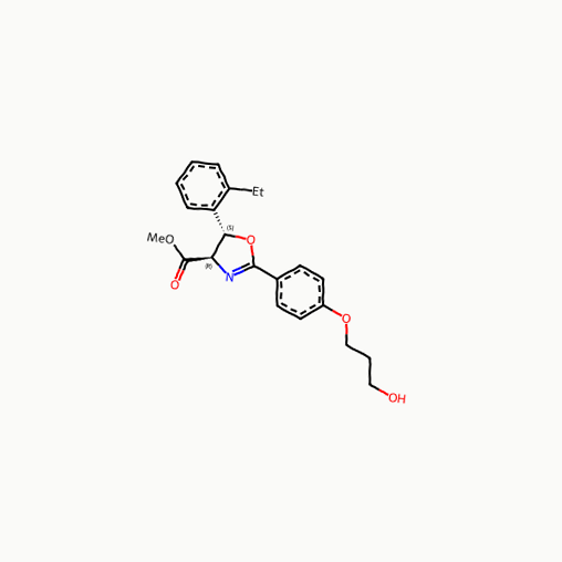 CCc1ccccc1[C@@H]1OC(c2ccc(OCCCO)cc2)=N[C@H]1C(=O)OC